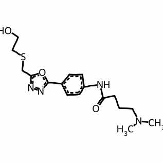 CN(C)CCCC(=O)Nc1ccc(-c2nnc(CSCCO)o2)cc1